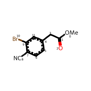 COC(=O)Cc1ccc(C#N)c(Br)c1